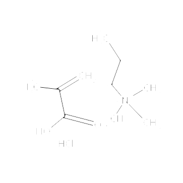 C=C(C)C(=O)O.CCC[N+](C)(C)C.Cl